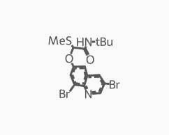 CSC(Oc1cc(Br)c2ncc(Br)cc2c1)C(=O)NC(C)(C)C